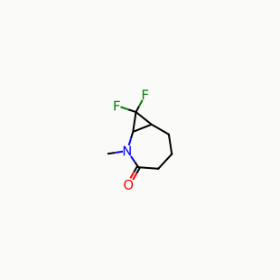 CN1C(=O)CCCC2C1C2(F)F